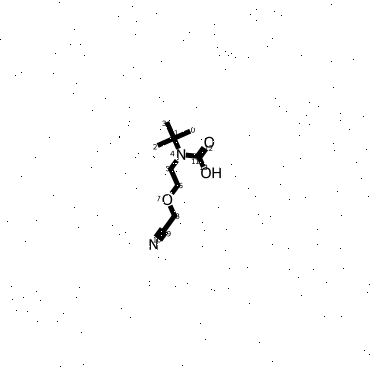 CC(C)(C)N(CCOCC#N)C(=O)O